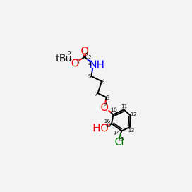 CC(C)(C)OC(=O)NCCCCOc1cccc(Cl)c1O